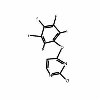 Fc1c(F)c(F)c(Oc2ccnc(Cl)n2)c(F)c1F